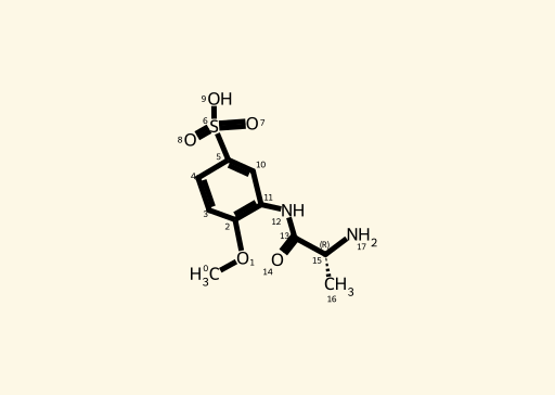 COc1ccc(S(=O)(=O)O)cc1NC(=O)[C@@H](C)N